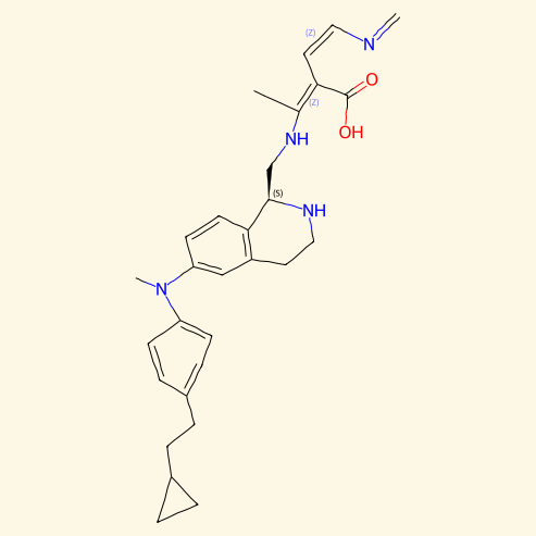 C=N/C=C\C(C(=O)O)=C(/C)NC[C@H]1NCCc2cc(N(C)c3ccc(CCC4CC4)cc3)ccc21